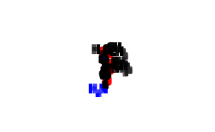 CC(C)(C)OC(=O)[C@@H](Cc1ccc(OCCN)cc1)[C@H]1CCN(C(=O)OC(C)(C)C)C1